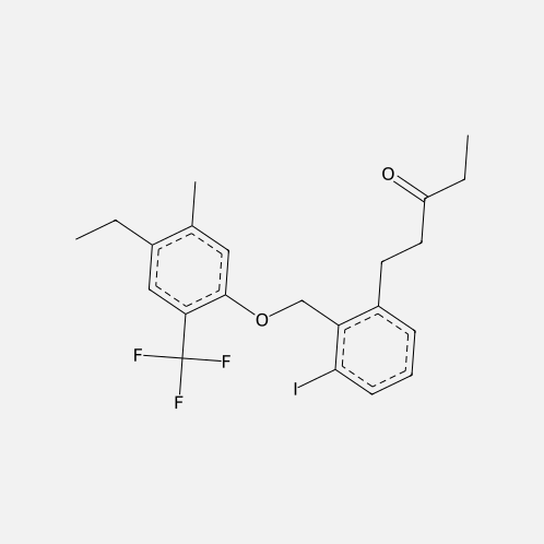 CCC(=O)CCc1cccc(I)c1COc1cc(C)c(CC)cc1C(F)(F)F